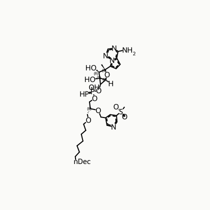 CCCCCCCCCCCCCCCCCOC[C@H](COP(O)(=P)OC1[C@H]2O[C@@](C)(c3ccc4c(N)ncnn34)[C@H](O)[C@@]12O)OCc1cncc(S(C)(=O)=O)c1